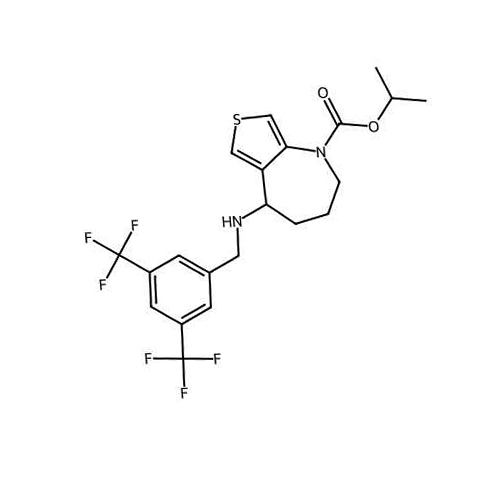 CC(C)OC(=O)N1CCCC(NCc2cc(C(F)(F)F)cc(C(F)(F)F)c2)c2cscc21